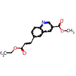 CCOC(=O)/C=C/c1ccc2ncc(C(=O)OC)cc2c1